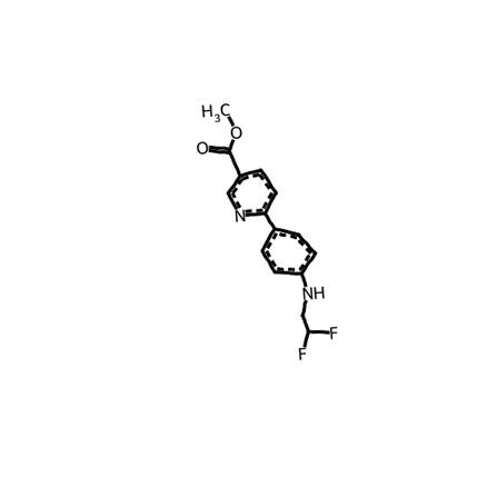 COC(=O)c1ccc(-c2ccc(NCC(F)F)cc2)nc1